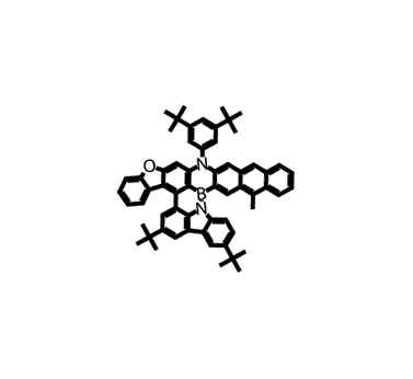 Cc1c2ccccc2cc2cc3c(cc12)B1c2c(cc4oc5ccccc5c4c2-c2cc(C(C)(C)C)cc4c5cc(C(C)(C)C)ccc5n1c24)N3c1cc(C(C)(C)C)cc(C(C)(C)C)c1